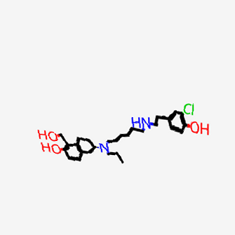 CCCN(CCCCCCNCCc1ccc(O)c(Cl)c1)[C@H]1CCc2c(ccc(O)c2CO)C1